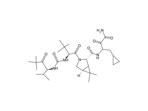 CC(C)[C@H](NC(=O)N[C@H](C(=O)N1C[C@H]2C([C@H]1C(=O)NC(CC1CC1)C(=O)C(N)=O)C2(C)C)C(C)(C)C)C(=O)C(C)(C)C